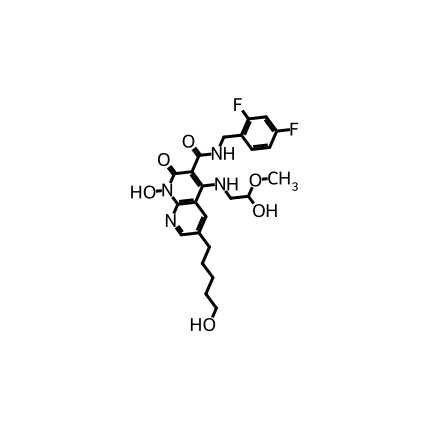 COC(O)CNc1c(C(=O)NCc2ccc(F)cc2F)c(=O)n(O)c2ncc(CCCCCO)cc12